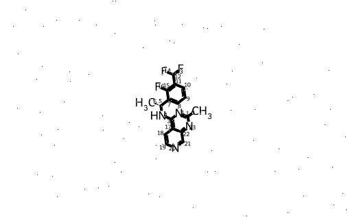 Cc1nc(N[C@H](C)c2cccc(C(F)F)c2F)c2c[c]ncc2n1